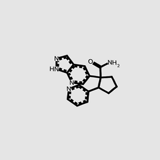 NC(=O)C1(c2cnc3[nH]ncc3c2)CCCC1c1cccnc1